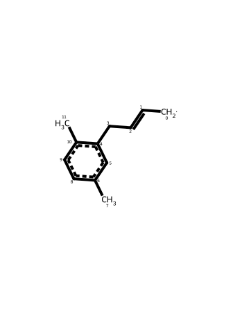 [CH2]/C=C/Cc1cc(C)ccc1C